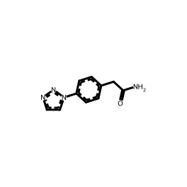 NC(=O)Cc1ccc(-n2ccnn2)cc1